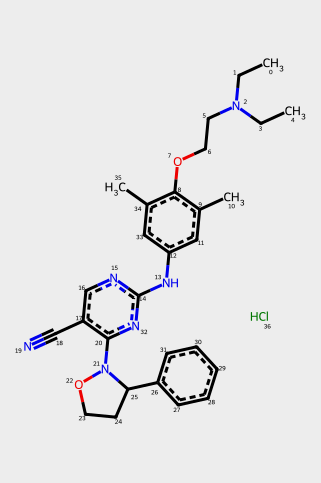 CCN(CC)CCOc1c(C)cc(Nc2ncc(C#N)c(N3OCCC3c3ccccc3)n2)cc1C.Cl